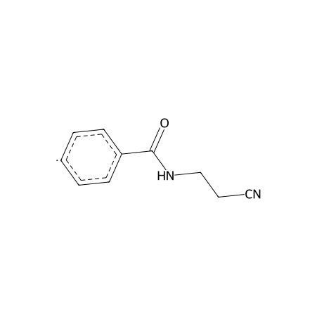 N#CCCNC(=O)c1cc[c]cc1